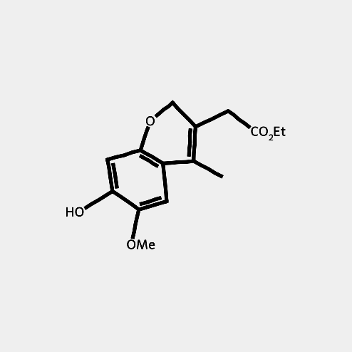 CCOC(=O)CC1=C(C)c2cc(OC)c(O)cc2OC1